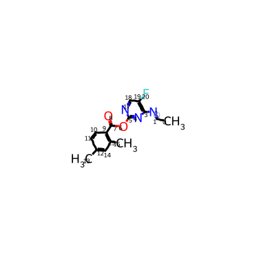 C/C=N/c1nc(OC(=O)c2ccc(C)cc2C)ncc1F